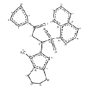 N#Cc1c(N(CC(=O)c2ccccc2)S(=O)(=O)c2cccc3ccccc23)sc2c1CCCC2